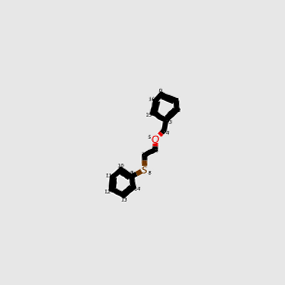 c1ccc(COCCSc2ccccc2)cc1